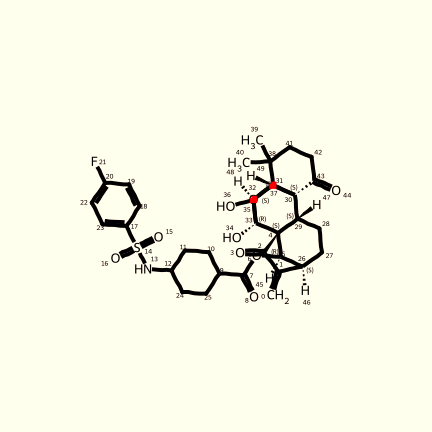 C=C1C(=O)[C@]23[C@H](OC(=O)C4CCC(NS(=O)(=O)c5ccc(F)cc5)CC4)[C@H]1CC[C@H]2[C@@]12CO[C@@]3(O)[C@@H](O)[C@@H]1C(C)(C)CCC2=O